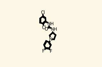 O=C(Nc1cc(Cl)ccc1Cl)N[C@@H]1CCN(c2ccc(F)c(F)c2)C1